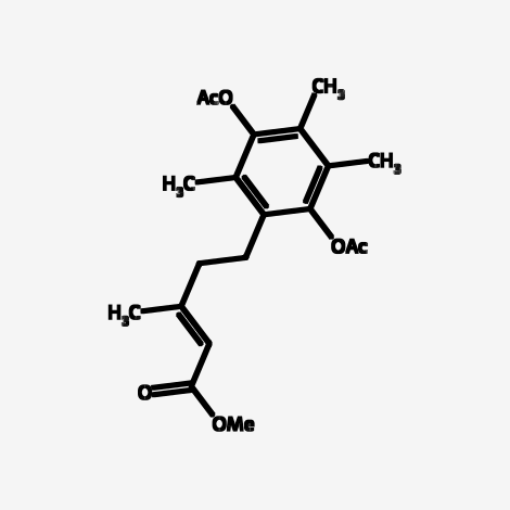 COC(=O)C=C(C)CCc1c(C)c(OC(C)=O)c(C)c(C)c1OC(C)=O